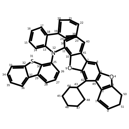 C1=Cc2c(oc3cc4c(oc5c(N(c6ccccc6-c6ccccc6)c6cccc7c6sc6ccccc67)cccc54)c(C4CCCCC4)c23)CC1